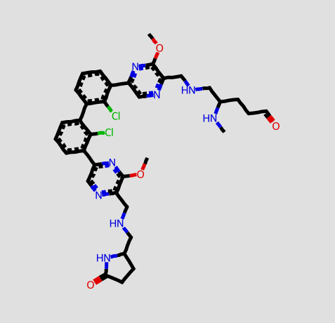 CNC(CCC=O)CNCc1ncc(-c2cccc(-c3cccc(-c4cnc(CNCC5CCC(=O)N5)c(OC)n4)c3Cl)c2Cl)nc1OC